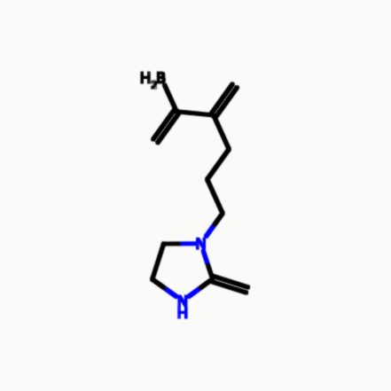 BC(=C)C(=C)CCCN1CCNC1=C